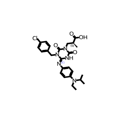 CCN(c1ccc(/N=c2\[nH]c(=O)n(C[C@H](C)C(=O)O)c(=O)n2Cc2ccc(Cl)cc2)cc1)C(C)C